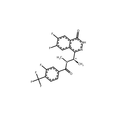 C[C@H](c1n[nH]c(=O)c2cc(F)c(F)cc12)N(C)C(=O)c1ccc(C(F)(F)F)c(F)c1